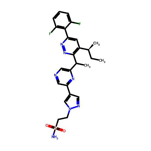 CC[C@H](C)c1cc(-c2c(F)cccc2F)nnc1C(C)c1cncc(-c2cnn(CCS(N)(=O)=O)c2)n1